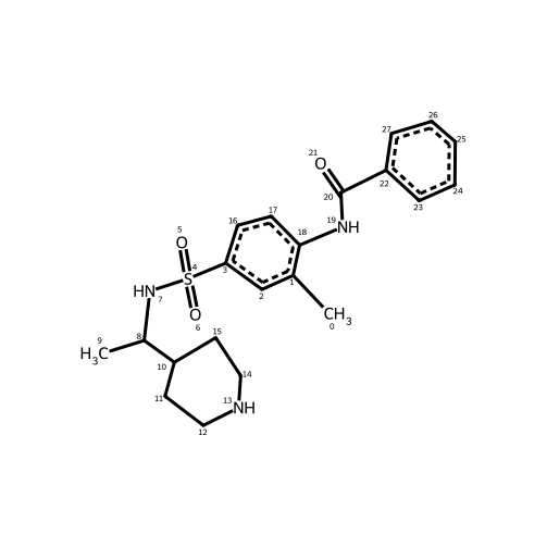 Cc1cc(S(=O)(=O)NC(C)C2CCNCC2)ccc1NC(=O)c1ccccc1